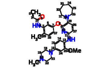 C=CC(=O)Nc1cc(Oc2nc(Nc3ccc(N4CCN(C)CC4)cc3OC)ccc2N2CCCCCC2)ccc1C